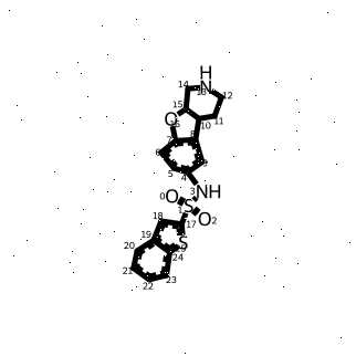 O=S(=O)(Nc1ccc2c(c1)C1CCNCC1O2)c1cc2ccccc2s1